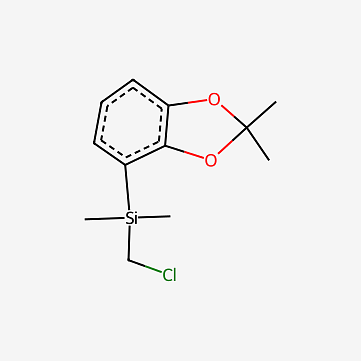 CC1(C)Oc2cccc([Si](C)(C)CCl)c2O1